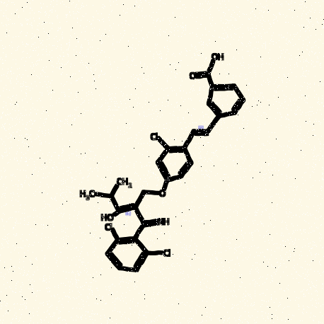 CC(C)/C(O)=C(\COc1ccc(/C=C/c2cccc(C(=O)O)c2)c(Cl)c1)C(=N)c1c(Cl)cccc1Cl